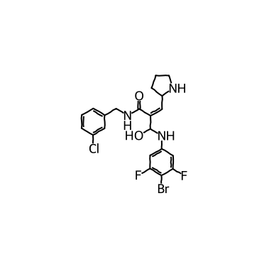 O=C(NCc1cccc(Cl)c1)/C(=C\C1CCCN1)C(O)Nc1cc(F)c(Br)c(F)c1